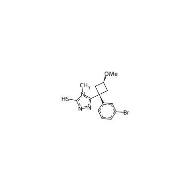 CO[C@H]1C[C@](c2cccc(Br)c2)(c2nnc(S)n2C)C1